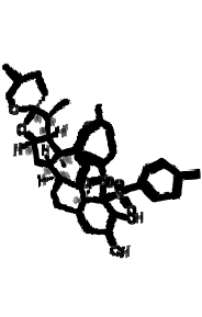 Cc1ccc(S(=O)(=O)C2(S(=O)(=O)c3ccc(C)cc3)C(O)C(O)CC3CC[C@@H]4C(=CC(=O)[C@]5(C)[C@@H]6[C@H](C[C@@H]45)O[C@]4(CCC(C)CO4)[C@H]6C)[C@]32C)cc1